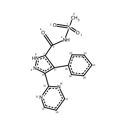 CS(=O)(=O)NC(=O)c1[nH]nc(-c2ncccn2)c1-c1ccccc1